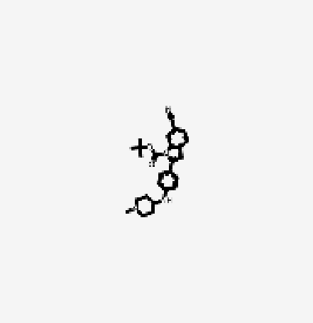 CN1CCC(Nc2ccc(-c3cc4ccc(C#N)cc4n3C(=O)OC(C)(C)C)cc2)CC1